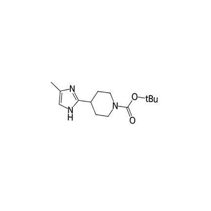 Cc1c[nH]c(C2CCN(C(=O)OC(C)(C)C)CC2)n1